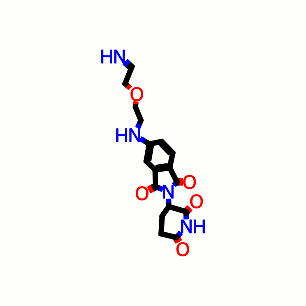 N=CCOCCNc1ccc2c(c1)C(=O)N(C1CCC(=O)NC1=O)C2=O